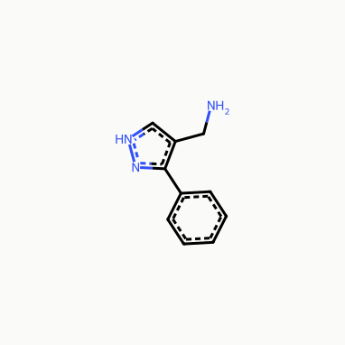 NCc1c[nH]nc1-c1ccccc1